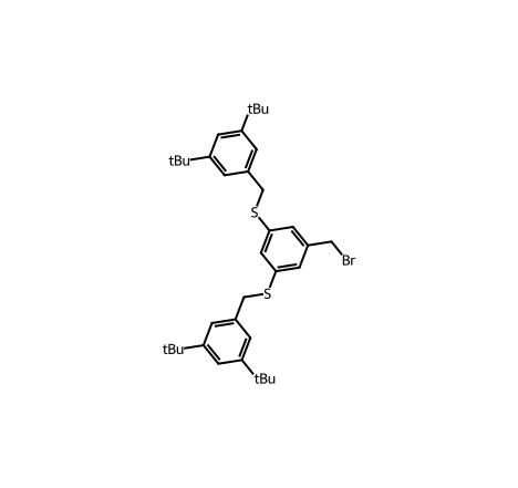 CC(C)(C)c1cc(CSc2cc(CBr)cc(SCc3cc(C(C)(C)C)cc(C(C)(C)C)c3)c2)cc(C(C)(C)C)c1